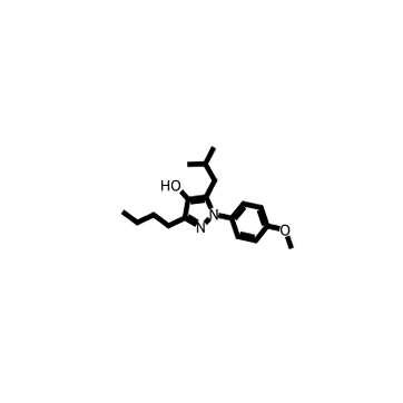 CCCCc1nn(-c2ccc(OC)cc2)c(CC(C)C)c1O